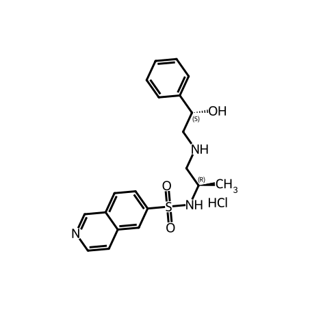 C[C@H](CNC[C@@H](O)c1ccccc1)NS(=O)(=O)c1ccc2cnccc2c1.Cl